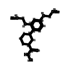 CCNC(=O)C1CCCC(c2ccc(OCOC)cc2OCOC)C1